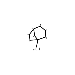 OC12CCCC(CC1)C2